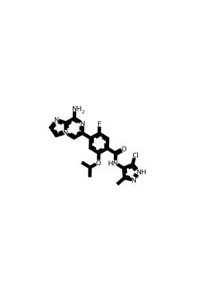 Cc1n[nH]c(Cl)c1NC(=O)c1cc(F)c(-c2cn3ccnc3c(N)n2)cc1OC(C)C